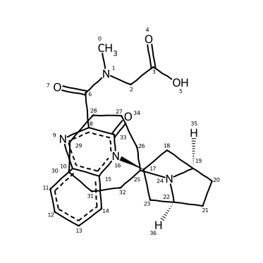 CN(CC(=O)O)C(=O)c1nc2ccccc2n([C@H]2C[C@H]3CC[C@@H](C2)N3C2CCCCCCC2)c1=O